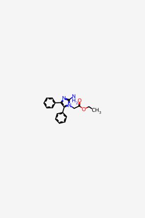 CCOC(=O)Cn1c(N)nc(-c2ccccc2)c1-c1ccccc1